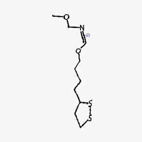 COC/N=C\OCCCCC1CCSS1